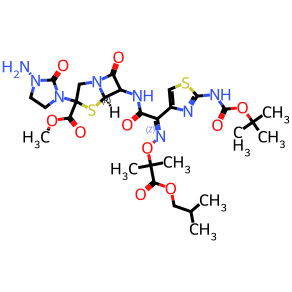 COC(=O)C1(N2CCN(N)C2=O)CN2C(=O)C(NC(=O)/C(=N\OC(C)(C)C(=O)OCC(C)C)c3csc(NC(=O)OC(C)(C)C)n3)[C@H]2S1